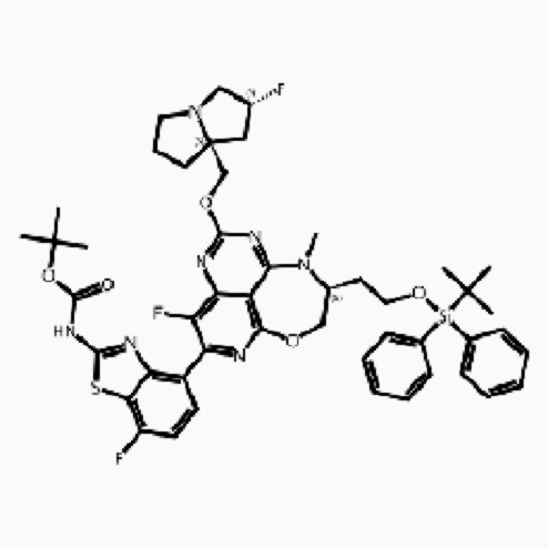 CN1c2nc(OC[C@@]34CCCN3C[C@H](F)C4)nc3c(F)c(-c4ccc(F)c5sc(NC(=O)OC(C)(C)C)nc45)nc(c23)OC[C@@H]1CCO[Si](c1ccccc1)(c1ccccc1)C(C)(C)C